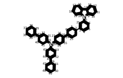 C1=C[C@@H](c2cccc(-n3c4ccccc4c4ccccc43)c2)CC=C1c1ccc(N(C2=CC=C(c3ccccc3)CC2)c2ccc(-c3ccccc3)cc2)cc1